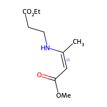 CCOC(=O)CCN/C(C)=C\C(=O)OC